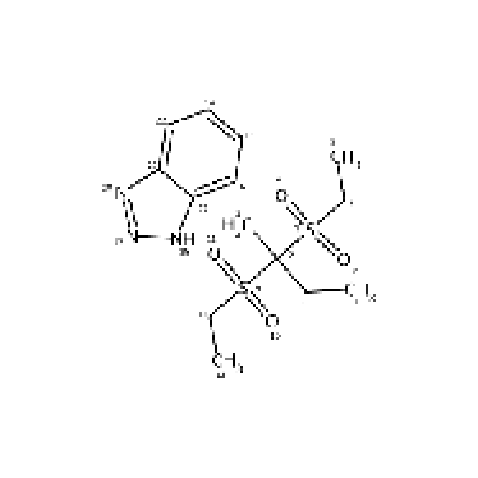 CCC(C)(S(=O)(=O)CC)S(=O)(=O)CC.c1ccc2[nH]nnc2c1